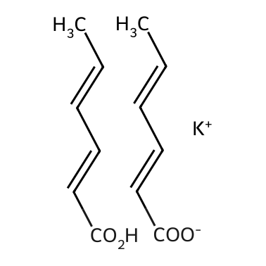 CC=CC=CC(=O)O.CC=CC=CC(=O)[O-].[K+]